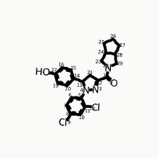 O=C(C1=NN(c2ccc(Cl)cc2Cl)C(c2ccc(O)cc2)C1)N1CC2CCCC2C1